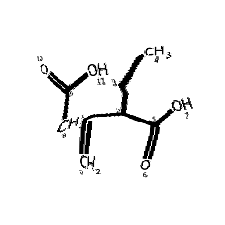 C=CC(CC)C(=O)O.CC(=O)O